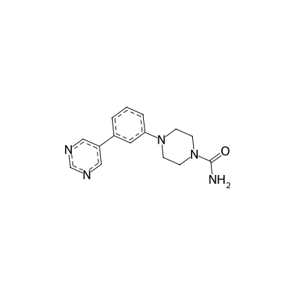 NC(=O)N1CCN(c2cccc(-c3cncnc3)c2)CC1